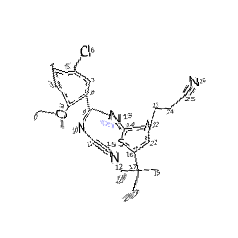 COc1ccc(Cl)cc1C(=NC#N)/N=c1\sc(C(C)(C)C)cn1CCC#N